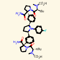 CN(C(=O)O)[C@H](C(=O)N1CCC[C@@]1(C(N)=O)c1cccc([C@H]2CC[C@@H](c3cccc([C@]4(C(N)=O)CCCN4C(=O)[C@@H](N(C)C(=O)O)C(C)(C)C)c3)N2c2ccc(F)cc2)c1)C(C)(C)C